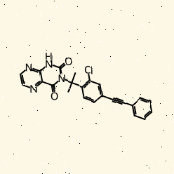 CC(C)(c1ccc(C#Cc2ccccc2)cc1Cl)n1c(=O)[nH]c2nccnc2c1=O